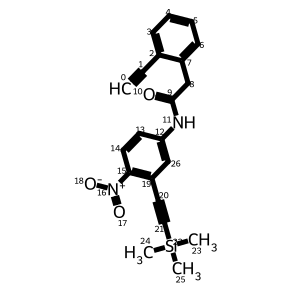 C#Cc1ccccc1CC(=O)Nc1ccc([N+](=O)[O-])c(C#C[Si](C)(C)C)c1